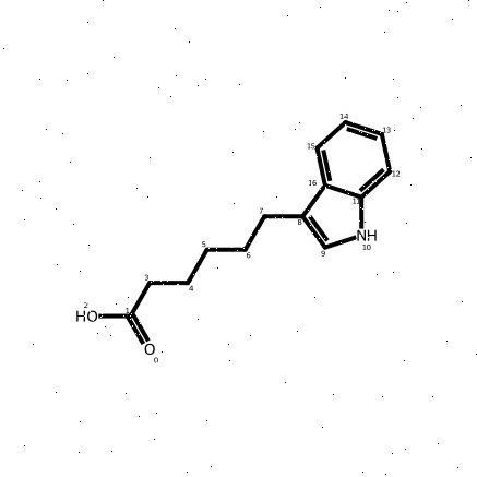 O=C(O)CCCCCc1c[nH]c2ccccc12